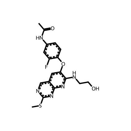 CSc1ncc2cc(Oc3ccc(NC(C)=O)cc3F)c(NCCO)nc2n1